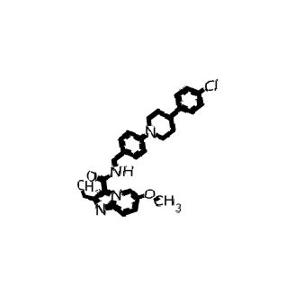 CCc1nc2ccc(OC)cn2c1C(=O)NCc1ccc(N2CCC(c3ccc(Cl)cc3)CC2)cc1